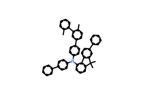 Cc1ccccc1-c1cc(-c2ccc(N(c3ccc(-c4ccccc4)cc3)c3cccc4c3-c3ccc(-c5ccccc5)cc3C4(C)C)cc2)ccc1C